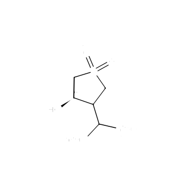 CCCCCC(CCCCC)C1CS(=O)(=O)C[C@@H]1O